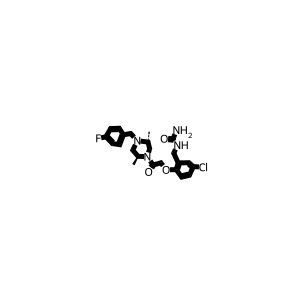 C[C@@H]1CN(C(=O)COc2ccc(Cl)cc2CNC(N)=O)[C@@H](C)CN1Cc1ccc(F)cc1